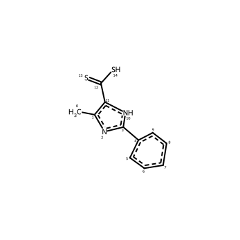 Cc1nc(-c2ccccc2)[nH]c1C(=S)S